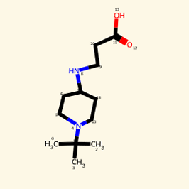 CC(C)(C)N1CCC(NCCC(=O)O)CC1